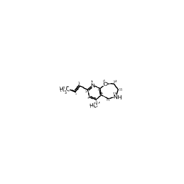 C/C=C/c1ccc2c(n1)OCCNC2.Cl